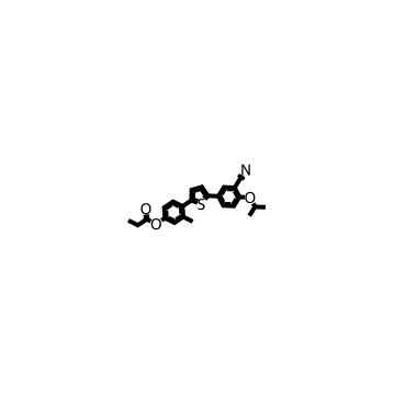 CCC(=O)Oc1ccc(-c2ccc(-c3ccc(OC(C)C)c(C#N)c3)s2)c(C)c1